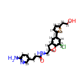 Nc1ccc(/C=C/C(=O)NCC2Cc3cc(-c4ccc(CCO)s4)cc(Cl)c3O2)cn1